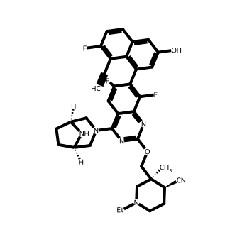 C#Cc1c(F)ccc2cc(O)cc(-c3c(F)cc4c(N5C[C@H]6CC[C@@H](C5)N6)nc(OC[C@]5(C)CN(CC)CC[C@@H]5C#N)nc4c3F)c12